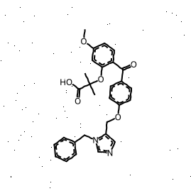 COc1ccc(C(=O)c2ccc(OCc3cncn3Cc3ccccc3)cc2)c(OC(C)(C)C(=O)O)c1